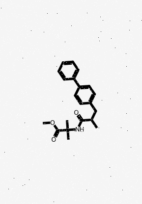 [CH2]C(Cc1ccc(-c2ccccc2)cc1)C(=O)NC(C)(C)C(=O)OC